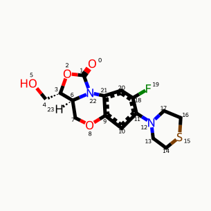 O=C1O[C@@H](CO)[C@@H]2COc3cc(N4CCSCC4)c(F)cc3N12